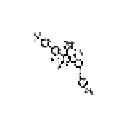 Cc1ccc(COc2ccc3c(c2)c(SC(C)(C)C)c(C(Cc2ccc(-c4ccc(C(F)(F)F)cn4)cc2)c2nn[nH]n2)n3C)nc1